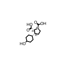 O=C(O)[C@H]1[C@@H](C2CCC(O)CC2)CCN1C(=O)O